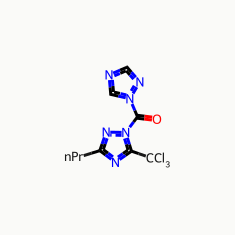 CCCc1nc(C(Cl)(Cl)Cl)n(C(=O)n2cncn2)n1